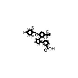 O=C(O)c1cccc(C2=C(c3cc(C(F)(F)F)ccc3OCc3c(F)cc(F)cc3F)CCC2)n1